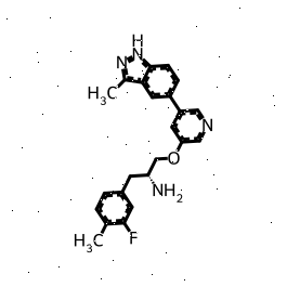 Cc1ccc(C[C@@H](N)COc2cncc(-c3ccc4[nH]nc(C)c4c3)c2)cc1F